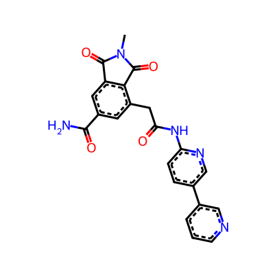 CN1C(=O)c2cc(C(N)=O)cc(CC(=O)Nc3ccc(-c4cccnc4)cn3)c2C1=O